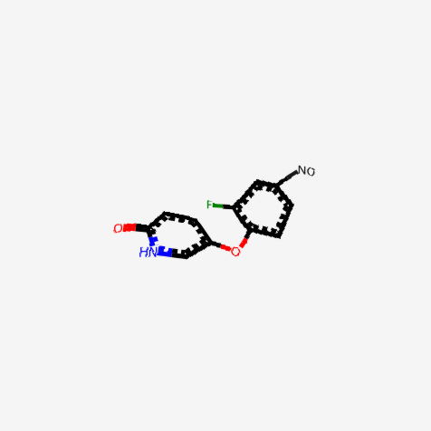 O=Nc1ccc(Oc2ccc(=O)[nH]c2)c(F)c1